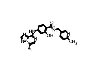 Cc1ccc(CNC(=O)c2ccc(Nc3ncc(Br)n4ncnc34)cc2O)cn1